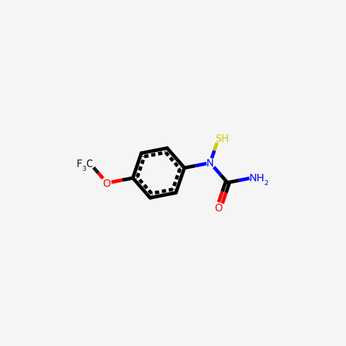 NC(=O)N(S)c1ccc(OC(F)(F)F)cc1